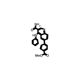 COC(=O)c1ccc(-c2ccc3ncc(C(N)=O)c(Nc4ccccc4)c3c2)cc1